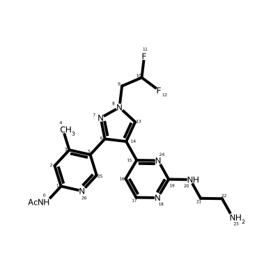 CC(=O)Nc1cc(C)c(-c2nn(CC(F)F)cc2-c2ccnc(NCCN)n2)cn1